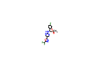 CS(=O)(=O)CC(Nc1ncc(-c2nnc(C(F)F)o2)cn1)c1ccc(F)cc1